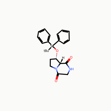 CC(C)(C)[Si](O[C@H]1CCN2C(=O)CNC(=O)[C@@H]12)(c1ccccc1)c1ccccc1